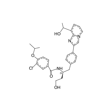 CC(C)Oc1ccc(C(=O)N[C@H](CCO)Cc2ccc(-c3cn4cccc(C(C)O)c4n3)cc2)cc1Cl